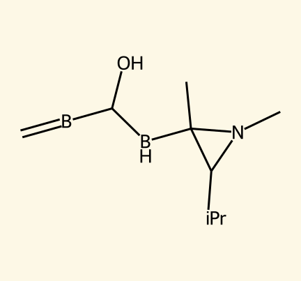 C=BC(O)BC1(C)C(C(C)C)N1C